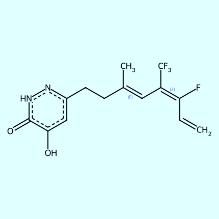 C=C/C(F)=C(\C=C(/C)CCc1cc(O)c(=O)[nH]n1)C(F)(F)F